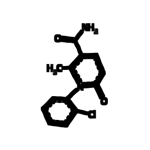 Cc1c(C(N)=O)ccc(=O)n1-c1ccccc1Cl